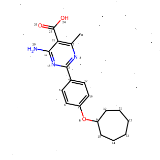 Cc1nc(-c2ccc(OC3CCCCCC3)cc2)nc(N)c1C(=O)O